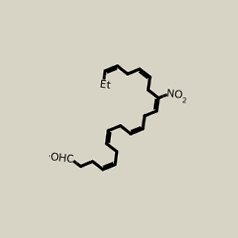 CC/C=C\C/C=C\C/C(=C\C/C=C\C/C=C\C/C=C\CC[C]=O)[N+](=O)[O-]